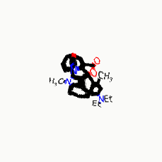 CCN(CC)c1ccc(C2(c3c(-c4ccccc4)n(C)c4ccccc34)OC(=O)c3cccnc32)c(C)c1